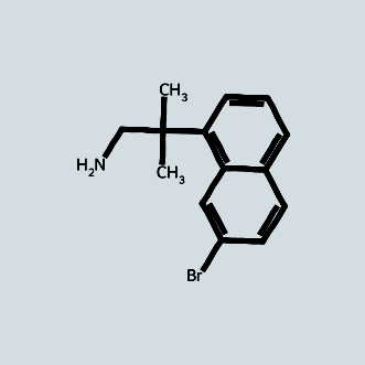 CC(C)(CN)c1cccc2ccc(Br)cc12